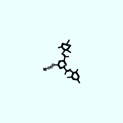 CC(=Nc1c(C)cc(C)cc1C)c1cc(Cl)cc(C(C)=Nc2c(C)cc(C)cc2C)n1.[Cl-].[Cl-].[Cl-].[V+3]